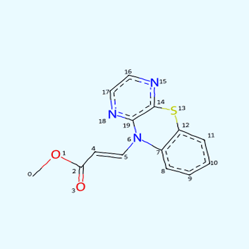 COC(=O)/C=C/N1c2ccccc2Sc2nccnc21